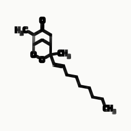 CCCCCCC/C=C/C1(C)OOC2CC1CC(=O)C2C